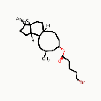 CC(=O)C1CC[C@H]2C3CC[C@H](C)C[C@H](OC(=O)CCCCBr)CCC[C@H]3CCC12C